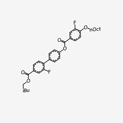 CCCCCCCCOc1ccc(C(=O)Oc2ccc(-c3ccc(C(=O)OCC(C)CC)cc3F)cc2)cc1F